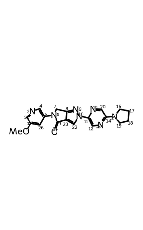 COc1cncc(N2Cc3nn(-c4cnc(N5CCCC5)cn4)cc3C2=O)c1